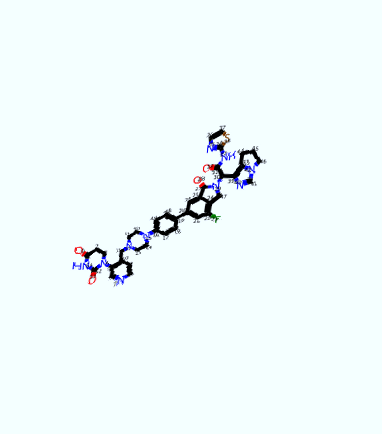 O=C1CCN(c2cnccc2CN2CCN(c3ccc(-c4cc(F)c5c(c4)C(=O)N(C(C(=O)Nc4nccs4)c4ncn6c4CCC6)C5)cc3)CC2)C(=O)N1